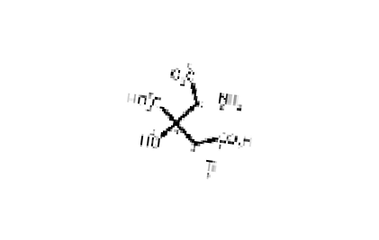 N.O=C(O)CC(O)(CC(=O)O)C(=O)O.[Ti]